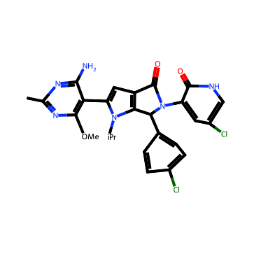 COc1nc(C)nc(N)c1-c1cc2c(n1C(C)C)C(c1ccc(Cl)cc1)N(c1cc(Cl)c[nH]c1=O)C2=O